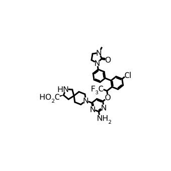 CN1CCN(c2cccc(-c3cc(Cl)ccc3C(Oc3cc(N4CCC5(CC4)CN[C@H](C(=O)O)C5)nc(N)n3)C(F)(F)F)c2)C1=O